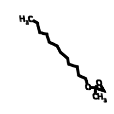 CCCCCCCCCCCCOC1(C)CO1